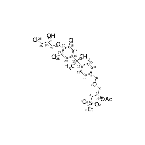 CCS(=O)(=O)C[C@H](COCc1ccc(C(C)(C)c2cc(Cl)c(OC[C@@H](O)CCl)c(Cl)c2)cc1)OC(C)=O